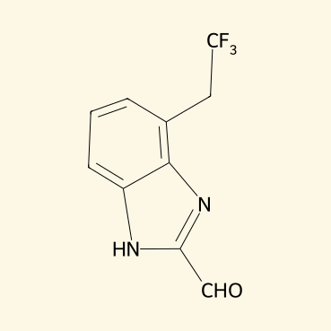 O=Cc1nc2c(CC(F)(F)F)cccc2[nH]1